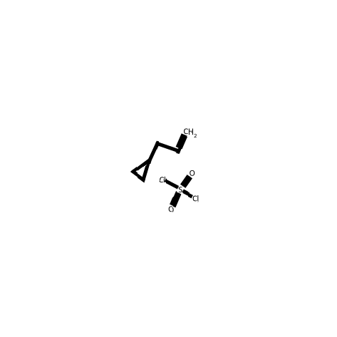 C=CCC1CC1.O=S(=O)(Cl)Cl